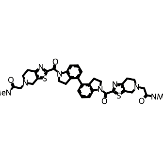 CNC(=O)CN1CCc2nc(C(=O)N3CCc4c(-c5cccc6c5CCN6C(=O)c5nc6c(s5)CN(CC(=O)NC)CC6)cccc43)sc2C1